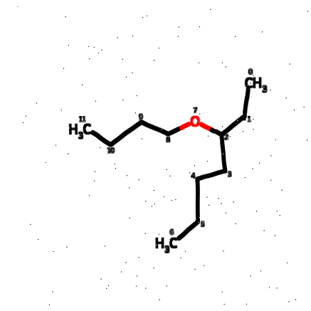 C[CH]C(CCCC)OCCCC